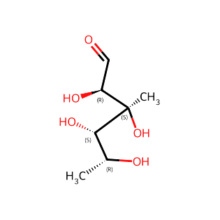 C[C@@H](O)[C@H](O)[C@](C)(O)[C@@H](O)C=O